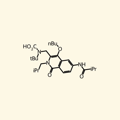 CCCCOc1c(CN(C(=O)O)C(C)(C)C)n(CC(C)C)c(=O)c2ccc(NC(=O)C(C)C)cc12